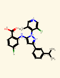 Cc1cncc(Cl)c1-n1nc(-c2cccc(C(C)C)c2)cc1Nc1cc(F)ccc1C(=O)O